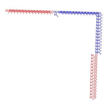 N.N.N.N.N.N.N.N.N.N.N.N.N.N.N.N.N.N.N.N.N.N.N.N.N.N.N.N.O.O.O.O.O.O.O.O.O.O.O.O.O.O.O.O.O.O.O.O.O.O.O.O.O.O.O.O.O.O